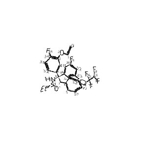 C=COc1cc([C@@](Cc2ccccc2)(N[S@@+]([O-])CC)c2cc(F)cc(OC(F)(F)C(F)F)c2)ccc1F